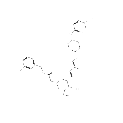 CC(=O)O[C@@H](C)/C=C\C(=O)N[C@@H]1C[C@H](C)[C@H](C/C=C(C)/C=C/[C@H]2O[C@H](CC(=O)NCc3cccc(C)c3)C[C@@]3(CO3)[C@@H]2O)O[C@@H]1C